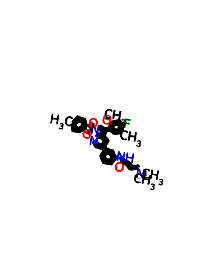 COc1cc(F)c(C)cc1-c1cn(S(=O)(=O)c2ccc(C)cc2)c2ncc(-c3cccc(NC(=O)C=CCN(C)C)c3)cc12